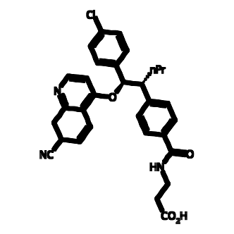 CCC[C@H](c1ccc(C(=O)NCCC(=O)O)cc1)[C@@H](Oc1ccnc2c1C=CC(C#N)C2)c1ccc(Cl)cc1